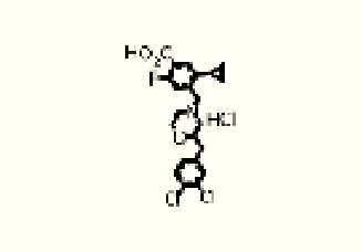 Cl.O=C(O)c1cc(C2CC2)c(CN2CCOC(Cc3ccc(Cl)c(Cl)c3)C2)cc1F